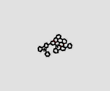 c1ccc(-c2ccc(-c3ccccc3N(c3cccc(-c4ccc5c6ccccc6n(-c6ccccc6)c5c4)c3)c3ccccc3-c3cccc4cccc(C5CCCCC5)c34)cc2)cc1